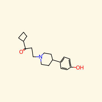 O=C(CCN1CCC(c2ccc(O)cc2)CC1)C1CCC1